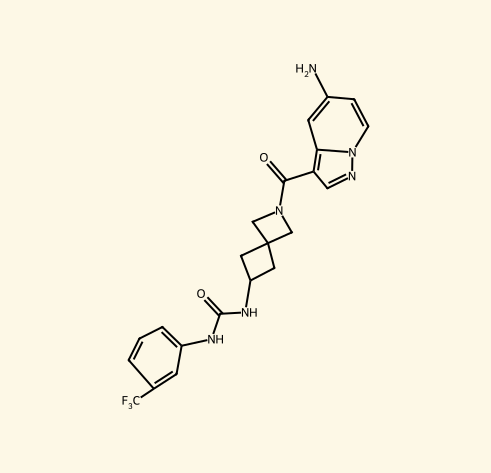 Nc1ccn2ncc(C(=O)N3CC4(CC(NC(=O)Nc5cccc(C(F)(F)F)c5)C4)C3)c2c1